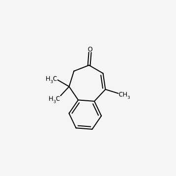 CC1=CC(=O)CC(C)(C)c2ccccc21